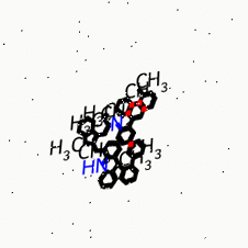 C=C(C)/C(=C\C1=C(Cc2cccc3c2Nc2ccccc2C3(C)c2ccccc2-c2ccccc2)C(C)(C)C2=C1CC=CC2)N(c1cc(-c2ccccc2CC)c(C)cc1C)c1ccc(C)cc1-c1ccccc1